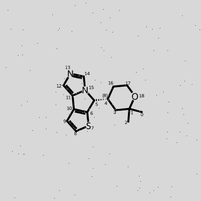 CC1(C)C[C@H](C2c3sccc3-c3cncn32)CCO1